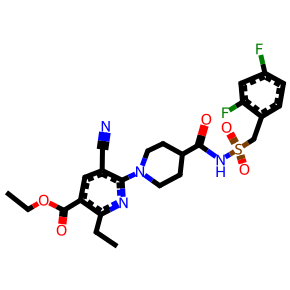 CCOC(=O)c1cc(C#N)c(N2CCC(C(=O)NS(=O)(=O)Cc3ccc(F)cc3F)CC2)nc1CC